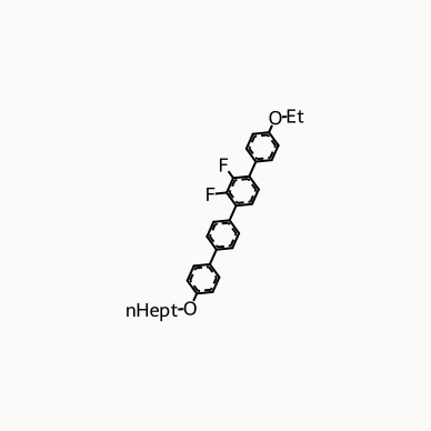 CCCCCCCOc1ccc(-c2ccc(-c3ccc(-c4ccc(OCC)cc4)c(F)c3F)cc2)cc1